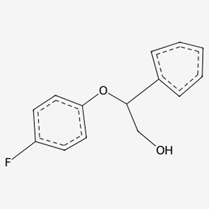 OCC(Oc1ccc(F)cc1)c1ccccc1